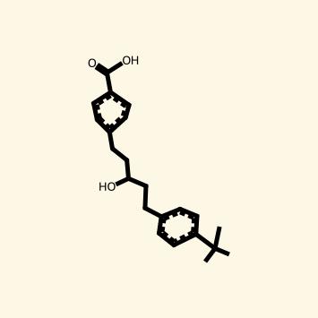 CC(C)(C)c1ccc(CCC(O)CCc2ccc(C(=O)O)cc2)cc1